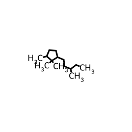 CCC(C)CCC1CCC(C)C1(C)C